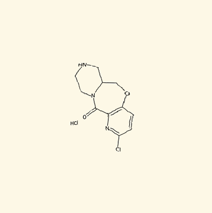 Cl.O=C1c2nc(Cl)ccc2OCC2CNCCN12